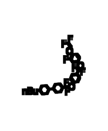 CCCCC1CCC(C2CCC(C(F)(F)Oc3ccc(C(F)(F)Oc4ccc(OC=C(F)F)c(F)c4)cc3)CC2)CC1